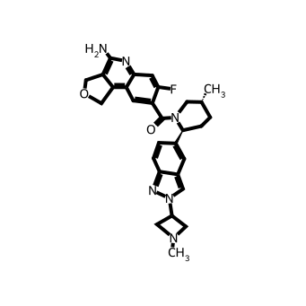 C[C@@H]1CC[C@@H](c2ccc3nn(C4CN(C)C4)cc3c2)N(C(=O)c2cc3c4c(c(N)nc3cc2F)COC4)C1